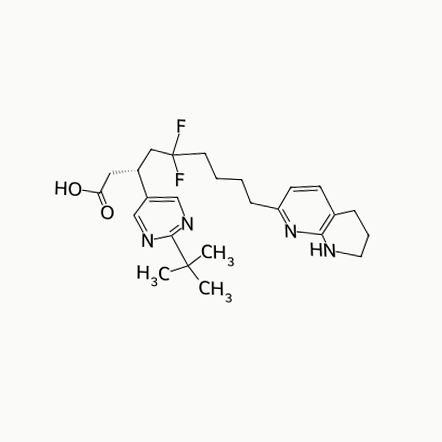 CC(C)(C)c1ncc([C@H](CC(=O)O)CC(F)(F)CCCCc2ccc3c(n2)NCCC3)cn1